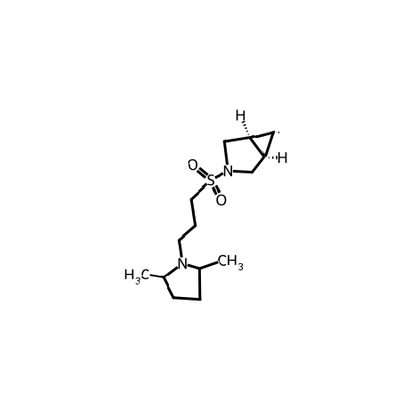 CC1CCC(C)N1CCCS(=O)(=O)N1C[C@H]2[CH][C@H]2C1